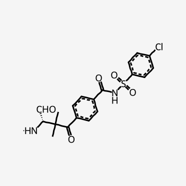 CC(C)(C(=O)c1ccc(C(=O)NS(=O)(=O)c2ccc(Cl)cc2)cc1)[C@H]([NH])C=O